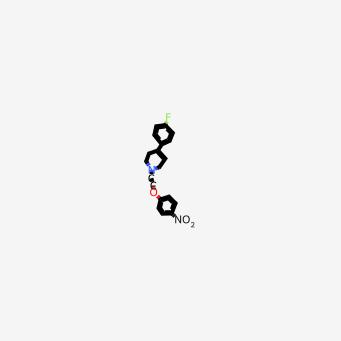 O=[N+]([O-])c1ccc(OCCN2CC=C(c3ccc(F)cc3)CC2)cc1